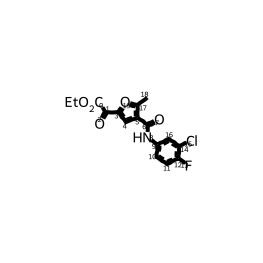 CCOC(=O)C(=O)c1cc(C(=O)Nc2ccc(F)c(Cl)c2)c(C)o1